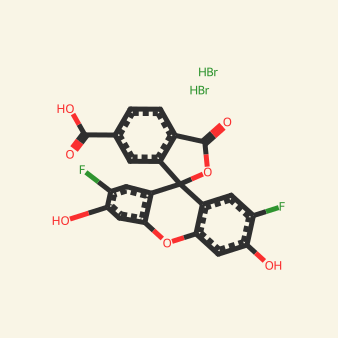 Br.Br.O=C(O)c1ccc2c(c1)C1(OC2=O)c2cc(F)c(O)cc2Oc2cc(O)c(F)cc21